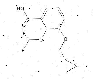 O=C(O)c1cccc(OCC2CC2)c1OC(F)F